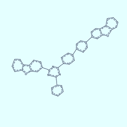 c1ccc(-c2nc(-c3ccc(-c4ccc(-c5ccc6c(c5)oc5ccccc56)cc4)cc3)nc(-c3ccc4c(c3)oc3ccccc34)n2)cc1